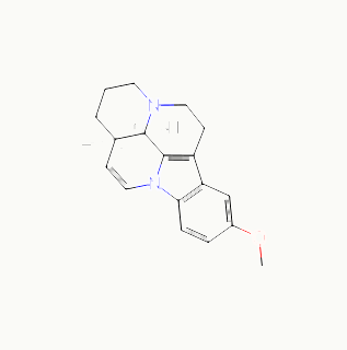 COc1ccc2c(c1)c1c3n2C=C[C@H]2CCCN(CC1)[C@@H]32